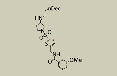 CCCCCCCCCCCCNC1CCN(S(=O)(=O)c2ccc(CNC(=O)c3cccc(OC)c3)s2)C1